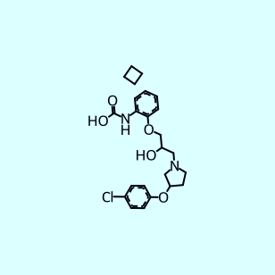 C1CCC1.O=C(O)Nc1ccccc1OCC(O)CN1CCC(Oc2ccc(Cl)cc2)C1